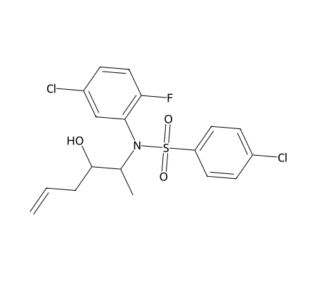 C=CCC(O)C(C)N(c1cc(Cl)ccc1F)S(=O)(=O)c1ccc(Cl)cc1